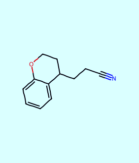 N#CCCC1CCOc2ccccc21